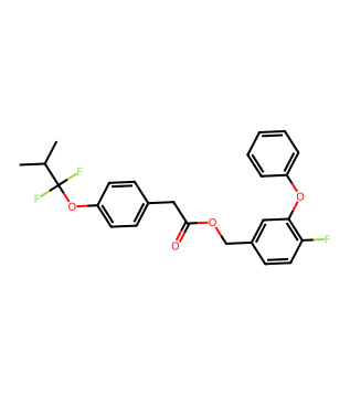 CC(C)C(F)(F)Oc1ccc(CC(=O)OCc2ccc(F)c(Oc3ccccc3)c2)cc1